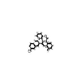 C=CC(=Cc1cccc(Cl)c1)C1=Cc2c(C)cccc2C(C=O)N1c1ccccn1